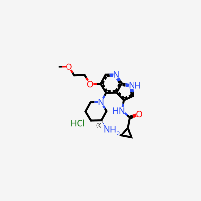 COCCOc1cnc2[nH]cc(NC(=O)C3CC3)c2c1N1CCC[C@@H](N)C1.Cl